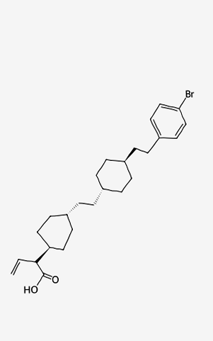 C=CC(C(=O)O)[C@H]1CC[C@H](CC[C@H]2CC[C@H](CCc3ccc(Br)cc3)CC2)CC1